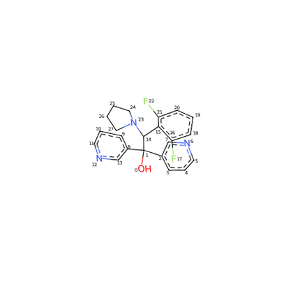 OC(c1cccnc1)(c1cccnc1)C(c1c(F)cccc1F)N1CCCC1